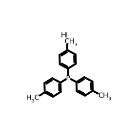 Cc1ccc(P(c2ccc(C)cc2)c2ccc(C)cc2)cc1.I